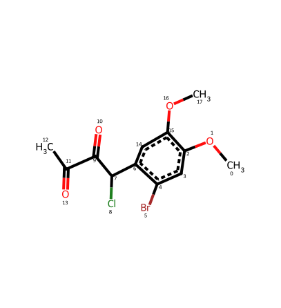 COc1cc(Br)c(C(Cl)C(=O)C(C)=O)cc1OC